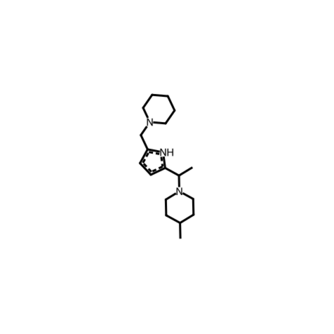 CC1CCN(C(C)c2ccc(CN3CCCCC3)[nH]2)CC1